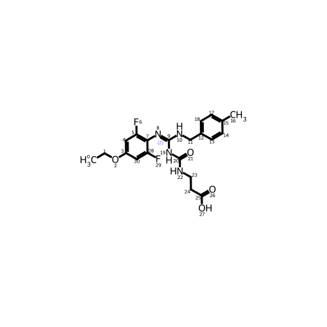 CCOc1cc(F)c(/N=C(/NCc2ccc(C)cc2)NC(=O)NCCC(=O)O)c(F)c1